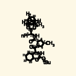 CCC[C@H](NC(=O)[C@@H]1C[C@@H](C)CN1C(=O)[C@@H](NC(=O)OC(C)(C)C)C1CCCCC1)B1O[C@@H]2C[C@@H]3C[C@@H](C3(C)C)[C@]2(C)O1